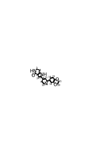 O=C1NCCc2[nH]c(-c3ccnc(-c4ccc5c(c4)OC=CO5)c3)cc21